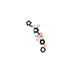 O=C(NS(=O)(=O)c1ccc(OC2CCCCC2)cc1F)c1cc(Cl)c(OCC2CCCC2)cc1F